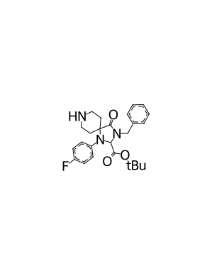 CC(C)(C)OC(=O)C1N(Cc2ccccc2)C(=O)C2(CCNCC2)N1c1ccc(F)cc1